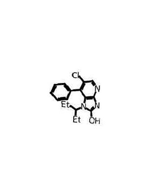 CCC(CC)n1c(O)nc2ncc(Cl)c(-c3ccccc3)c21